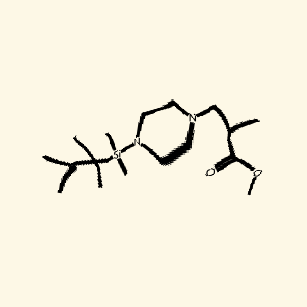 COC(=O)C(C)CN1CCN([Si](C)(C)C(C)(C)C(C)C)CC1